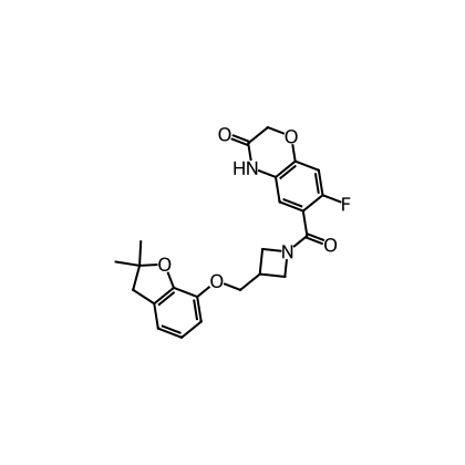 CC1(C)Cc2cccc(OCC3CN(C(=O)c4cc5c(cc4F)OCC(=O)N5)C3)c2O1